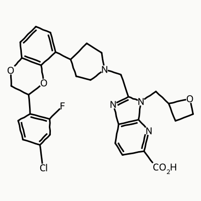 O=C(O)c1ccc2nc(CN3CCC(c4cccc5c4OC(c4ccc(Cl)cc4F)CO5)CC3)n(CC3CCO3)c2n1